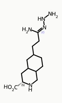 NN/N=C(\N)CCC1CCC2CN[C@H](C(=O)O)CC2C1